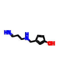 N=CCCNCC1=C=C(O)C=C1